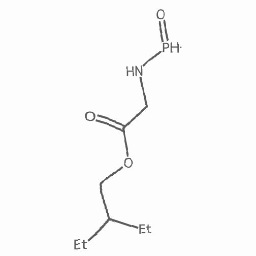 CCC(CC)COC(=O)CN[PH]=O